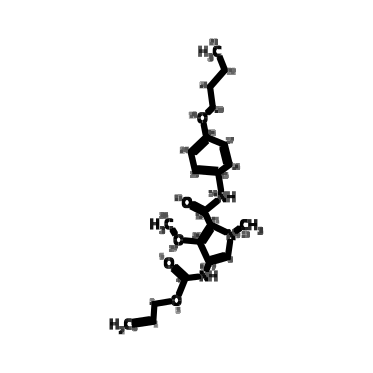 C=CCOC(=O)Nc1cn(C)c(C(=O)Nc2ccc(OCCCC)cc2)c1OC